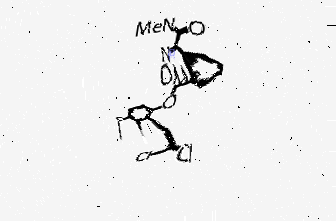 CNC(=O)/C(=N/OC)c1ccccc1COc1ccc(F)cc1C=C(Cl)Cl